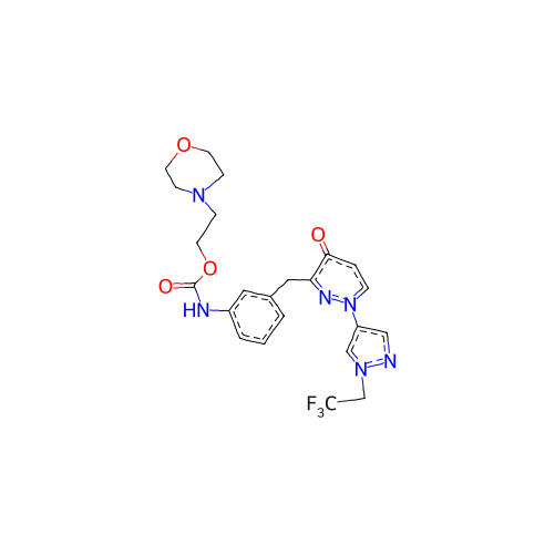 O=C(Nc1cccc(Cc2nn(-c3cnn(CC(F)(F)F)c3)ccc2=O)c1)OCCN1CCOCC1